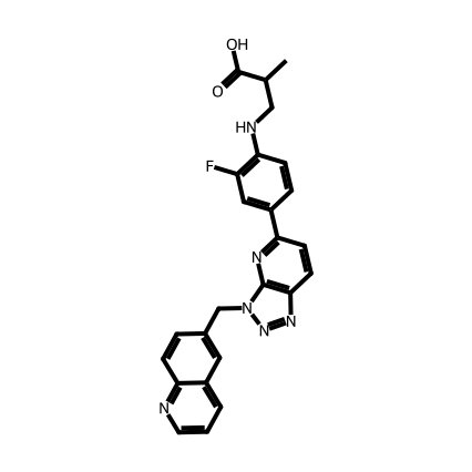 CC(CNc1ccc(-c2ccc3nnn(Cc4ccc5ncccc5c4)c3n2)cc1F)C(=O)O